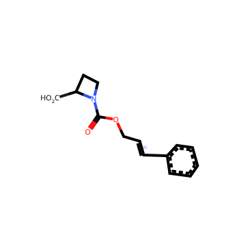 O=C(O)C1CCN1C(=O)OC/C=C/c1ccccc1